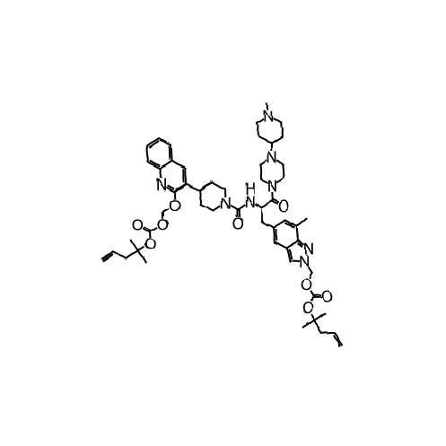 C=CCC(C)(C)OC(=O)OCOc1nc2ccccc2cc1C1CCN(C(=O)N[C@H](Cc2cc(C)c3nn(COC(=O)OC(C)(C)CC=C)cc3c2)C(=O)N2CCN(C3CCN(C)CC3)CC2)CC1